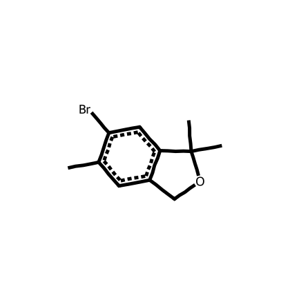 Cc1cc2c(cc1Br)C(C)(C)OC2